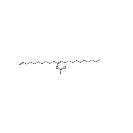 C=CCCCCCCCCC(=CCCCCCCCCCC)OC(C)=O